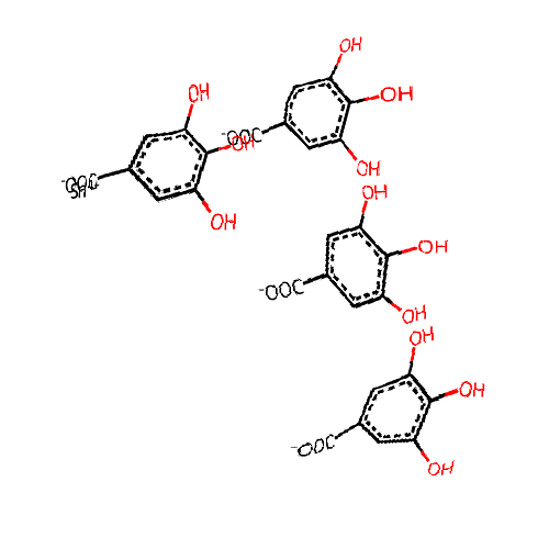 O=C([O-])c1cc(O)c(O)c(O)c1.O=C([O-])c1cc(O)c(O)c(O)c1.O=C([O-])c1cc(O)c(O)c(O)c1.O=C([O-])c1cc(O)c(O)c(O)c1.[Sn+4]